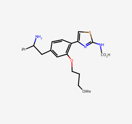 COCCCOc1cc(CC(N)C(C)C)ccc1-c1csc(NC(=O)O)n1